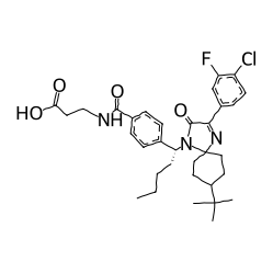 CCCC[C@H](c1ccc(C(=O)NCCC(=O)O)cc1)N1C(=O)C(c2ccc(Cl)c(F)c2)=NC12CCC(C(C)(C)C)CC2